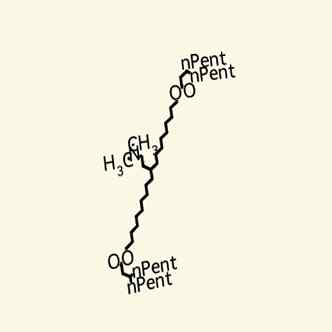 CCCCCC(CCCCC)CC(=O)OCCCCCCCCCCC(CCCCCCCCCOC(=O)CC(CCCCC)CCCCC)CCN(C)C